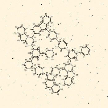 c1ccc(-c2nc(-c3ccc(-c4ccc(-n5c6ccccc6c6ccc(-c7cc(-c8nc(-c9ccccc9)nc(-c9ccccc9)n8)cc8sc9ccccc9c78)cc65)cc4)cc3)nc(-c3cc(-c4ccc5c(c4)c4c6ccccc6ccc4n5-c4ccccc4)c4c(c3)sc3ccccc34)n2)cc1